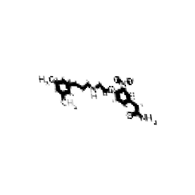 Cc1cc(C)cc(CCCNCCOc2ccc(CC(N)=O)cc2[N+](=O)[O-])c1